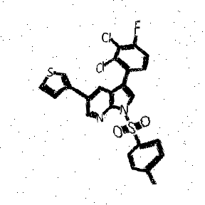 Cc1ccc(S(=O)(=O)n2cc(-c3ccc(F)c(Cl)c3Cl)c3cc(-c4ccsc4)cnc32)cc1